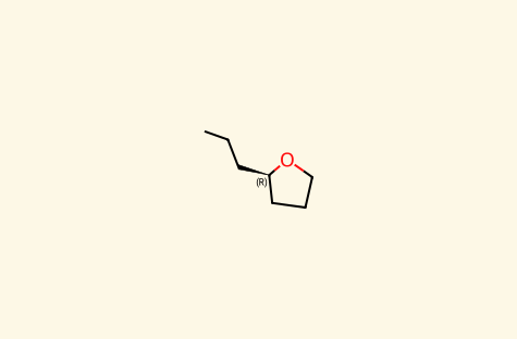 CCC[C@@H]1CCCO1